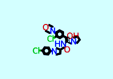 O=C(N[C@H](CN1CCCC1)[C@H](O)c1ccc(N2CCOCC2)c(Cl)c1)C1CCN(c2ccc(Cl)cc2)C1